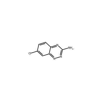 Nc1nnc2cc(Cl)ccc2n1